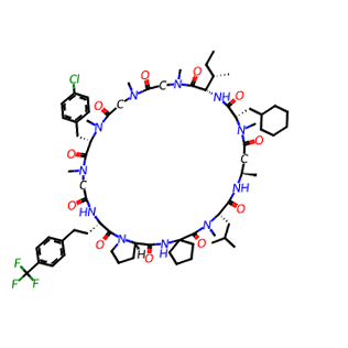 CC[C@H](C)[C@@H]1NC(=O)[C@H](CC2CCCCC2)N(C)C(=O)C[C@@H](C)NC(=O)[C@H](CC(C)C)N(C)C(=O)C2(CCCC2)NC(=O)[C@@H]2CCCN2C(=O)[C@H](CCc2ccc(C(F)(F)F)cc2)NC(=O)CN(C)C(=O)[C@H](Cc2ccc(Cl)cc2)N(C)C(=O)CN(C)C(=O)CN(C)C1=O